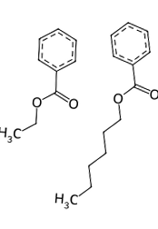 CCCCCCOC(=O)c1ccccc1.CCOC(=O)c1ccccc1